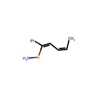 C/C=C\C=C(/SN)C(C)C